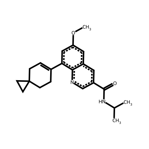 COc1cc(C2=CCC3(CC2)CC3)c2ncc(C(=O)NC(C)C)cc2c1